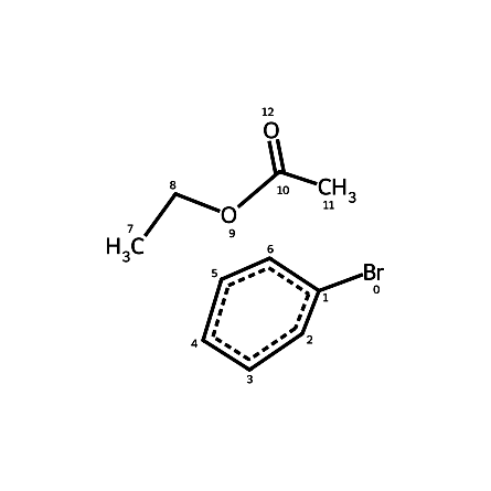 Brc1ccccc1.CCOC(C)=O